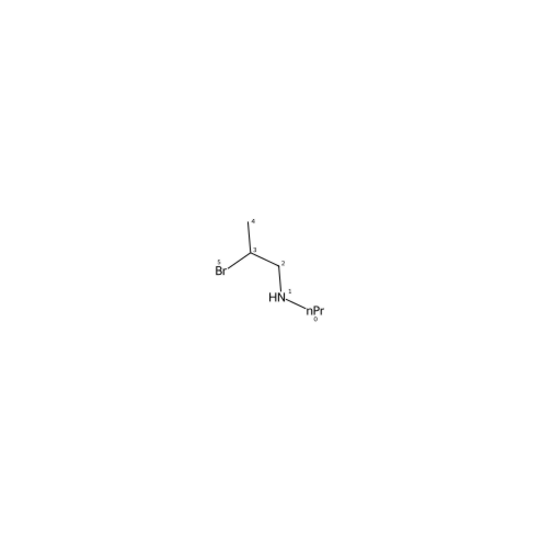 CCCNCC(C)Br